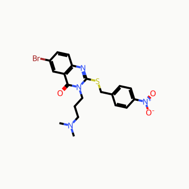 CN(C)CCCn1c(SCc2ccc([N+](=O)[O-])cc2)nc2ccc(Br)cc2c1=O